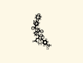 CC(C)CC(NC(=O)c1ccc(N(C)C)cc1)C(=O)N1CCC2C1C(=O)CN2C(=O)c1ccc(N2CCOCC2)nc1